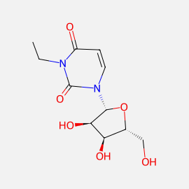 CCn1c(=O)ccn([C@@H]2O[C@H](CO)[C@@H](O)[C@H]2O)c1=O